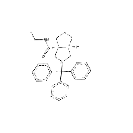 CCNC(=O)[C@]12CCC[C@H]1CN(C(c1ccccc1)(c1ccccc1)c1ccccc1)C2